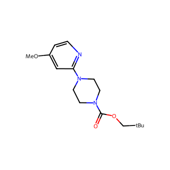 COc1ccnc(N2CCN(C(=O)OCC(C)(C)C)CC2)c1